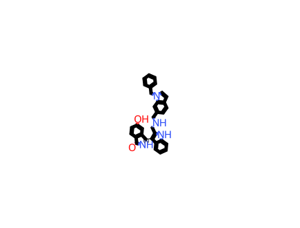 O=C1N[C@@H](c2c(CNCc3ccc4ccn(Cc5ccccc5)c4c3)[nH]c3ccccc23)c2cc(O)ccc21